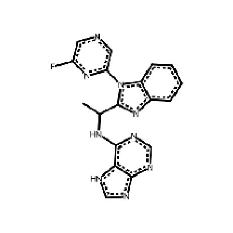 CC(Nc1ncnc2nc[nH]c12)c1nc2ccccc2n1-c1cncc(F)n1